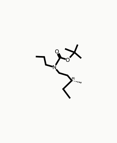 CCCN(CC[C@H](C)CC)C(=O)OC(C)(C)C